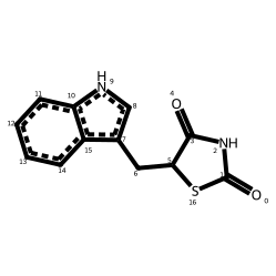 O=C1NC(=O)C(Cc2c[nH]c3ccccc23)S1